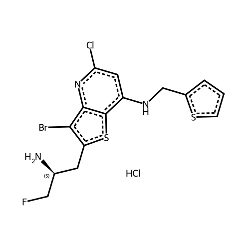 Cl.N[C@H](CF)Cc1sc2c(NCc3cccs3)cc(Cl)nc2c1Br